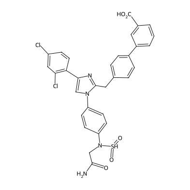 NC(=O)CN(c1ccc(-n2cc(-c3ccc(Cl)cc3Cl)nc2Cc2ccc(-c3cccc(C(=O)O)c3)cc2)cc1)[SH](=O)=O